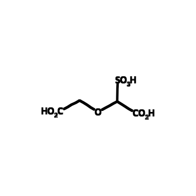 O=C(O)COC(C(=O)O)S(=O)(=O)O